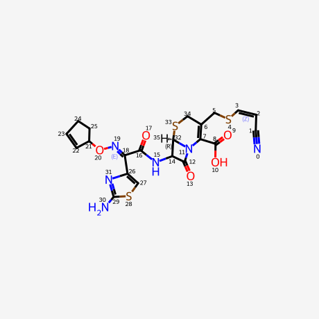 N#C/C=C\SCC1=C(C(=O)O)N2C(=O)C(NC(=O)/C(=N/OC3C=CCC3)c3csc(N)n3)[C@H]2SC1